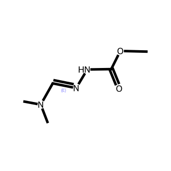 COC(=O)N/N=C/N(C)C